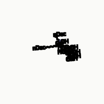 CCCCCCCCCCCCC/C=C/[C@@H](O)[C@H](CO[C@@H]1OC(CO)[C@H](O[C@@H]2OC(CO)[C@H](O)[C@H](O)C2O)[C@H](O)C1O)NC(=O)CCCCCCCCCCCCCCCCC